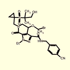 CCn1nc(C(=O)NCc2ccc(C#N)cc2)c2c1C(=O)N(CC1(S(=O)(=O)C(C)(C)CO)CC1)CC2OC(C)Br